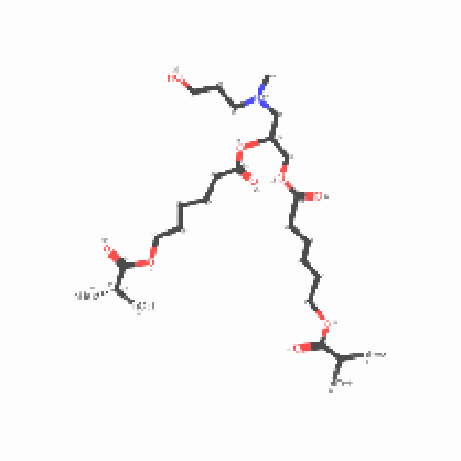 CCCCCCCCC(CCCCCC)C(=O)OCCCCCC(=O)OCC(CN(C)CCCO)OC(=O)CCCCCOC(=O)[C@@H](CCCCCC)CCCCCCCC